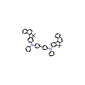 CC1(C)c2cc(N(c3ccccc3)c3ccc(-c4ccc(N(c5ccccc5)c5ccc6c(c5)C(C)(C)c5ccc7ccccc7c5-6)cc4)cc3)ccc2-c2c1ccc1ccccc21